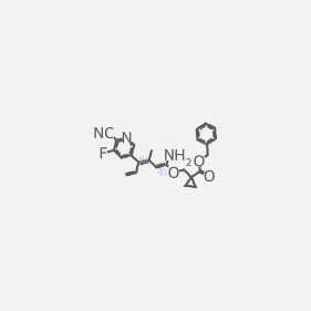 C=C/C(=C(C)\C=C(/N)OCC1(C(=O)OCc2ccccc2)CC1)c1cnc(C#N)c(F)c1